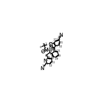 CC(C)(C)[S@+]([O-])NC(Cc1cccc(C#N)n1)c1ccccc1-c1noc2cc(C#N)ccc12